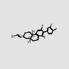 CC/C=C/[C@@H]1CC[C@@H]2c3cc(F)c(-c4ccc(F)c(F)c4)c(F)c3CC[C@@H]2C1